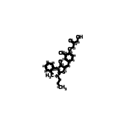 CCC/N=C1\SC(=Cc2ccc(OCC(=O)CO)c(Cl)c2)C(=O)N1c1ccccc1C